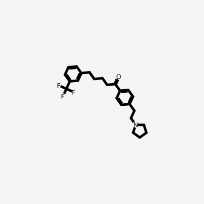 O=C(CCCCc1cccc(C(F)(F)F)c1)c1ccc(CCN2CCCC2)cc1